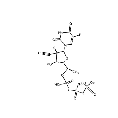 C#CC1(F)C(O)[C@@H]([C@@H](C)OP(=O)(O)OP(=O)(O)OP(=O)(O)O)O[C@H]1n1cc(F)c(=O)[nH]c1=O